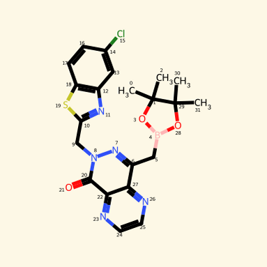 CC1(C)OB(Cc2nn(Cc3nc4cc(Cl)ccc4s3)c(=O)c3nccnc23)OC1(C)C